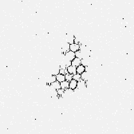 COC(=O)C1=C(C)NC(C)=C(C(=O)OCC=C(Oc2ccc(NC=O)cc2)C2=NNC(=O)CC2C)C1c1ccccc1Cl